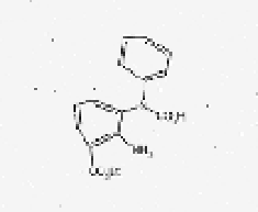 CCOC(=O)c1cccc(N(C(=O)O)c2ccccc2)c1N